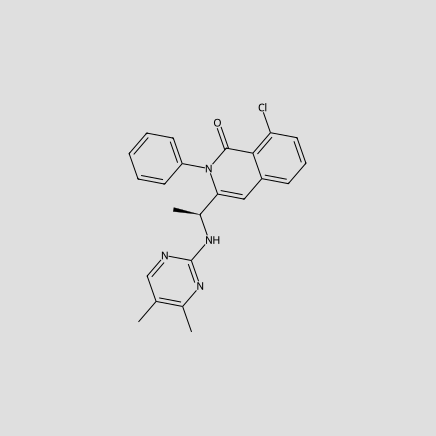 Cc1cnc(N[C@@H](C)c2cc3cccc(Cl)c3c(=O)n2-c2ccccc2)nc1C